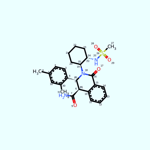 Cc1ccc([C@H]2[C@H](C(N)=O)c3ccccc3C(=O)N2[C@H]2CCCC[C@@H]2NS(C)(=O)=O)c(C)c1